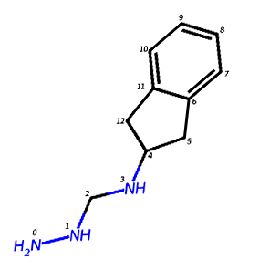 NNCNC1Cc2ccccc2C1